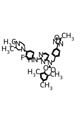 Cc1cc(C)c(OC(=O)N(Cc2ccc(-c3noc(C)n3)cc2)c2ccnc(Nc3ccc(N4CCN(C)C(C)C4)c(F)c3)n2)c(C)c1